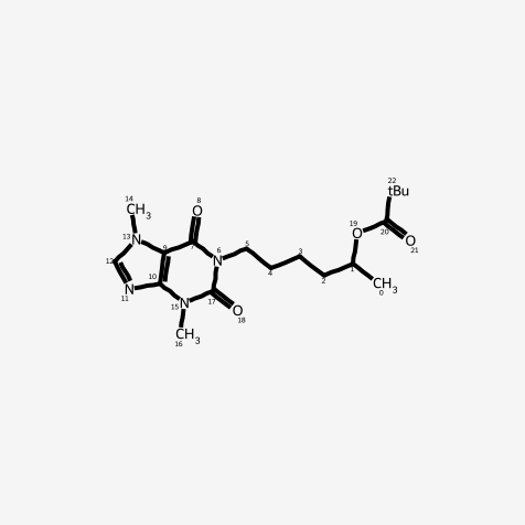 CC(CCCCn1c(=O)c2c(ncn2C)n(C)c1=O)OC(=O)C(C)(C)C